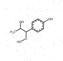 CC(O)C(OO)c1ccc(O)cc1